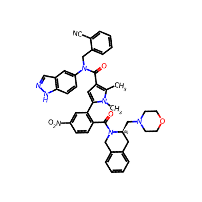 Cc1c(C(=O)N(Cc2ccccc2C#N)c2ccc3[nH]ncc3c2)cc(-c2cc([N+](=O)[O-])ccc2C(=O)N2Cc3ccccc3C[C@@H]2CN2CCOCC2)n1C